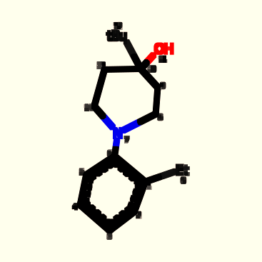 CCc1ccccc1N1CCC(O)(C(C)(C)C)CC1